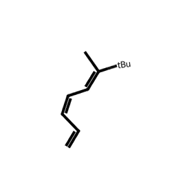 C=C/C=C\C=C(/C)C(C)(C)C